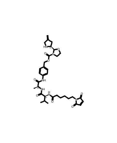 C=C1CN[C@H](C2OCCN2C(=O)OCc2ccc(NC(=O)[C@H](C)NC(=O)[C@@H](NC(=O)CCCCCN3C(=O)C=CC3=O)C(C)C)cc2)C1